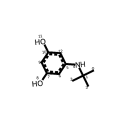 CC(C)(C)Nc1cc(O)cc(O)c1